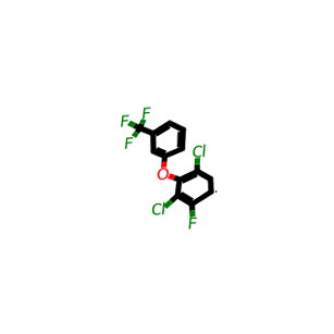 FC1=C(Cl)C(Oc2cccc(C(F)(F)F)c2)=C(Cl)C[CH]1